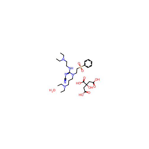 CCN(CC)CCCN(CCS(=O)(=O)c1ccccc1)/C(=N\C#N)NCCN(CC)CC.O.O=C(O)CC(O)(CC(=O)O)C(=O)O